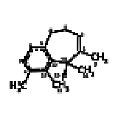 CC1=CCCc2ccc(C)c(C)c2C1(C)F